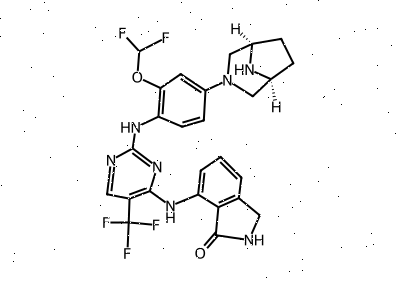 O=C1NCc2cccc(Nc3nc(Nc4ccc(N5C[C@H]6CC[C@@H](C5)N6)cc4OC(F)F)ncc3C(F)(F)F)c21